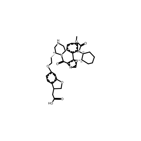 COC(=O)N[C@H]1CCCC[C@@H]1n1cnc(C(=O)N2CCNC[C@H]2CCOc2ccc3c(c2)OCC3CC(=O)O)c1-c1ccccc1